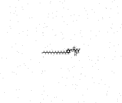 CCCCCCCCCCCCCCCCCc1ccc(COC(=O)C(CC(C)C)NC)cc1